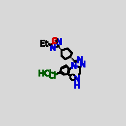 CCc1nc([C@H]2CC[C@@H](c3nnc4n3-c3ccc(Cl)cc3CNC4)CC2)no1.Cl